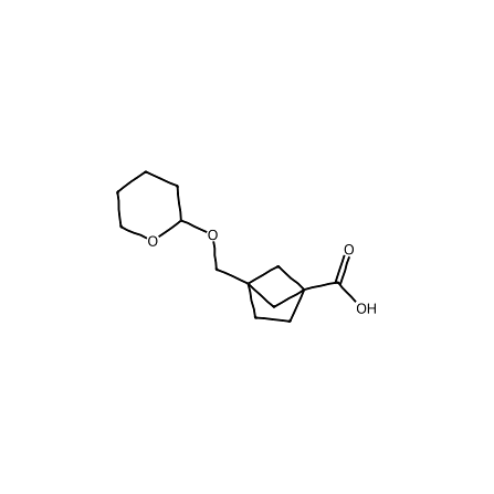 O=C(O)C12CCC(COC3CCCCO3)(C1)C2